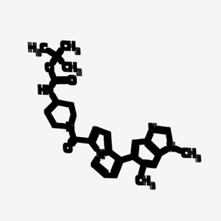 Cc1cc2c(cc1-c1cccn3c(C(=O)N4CCC(NC(=O)OC(C)(C)C)CC4)ccc13)ncn2C